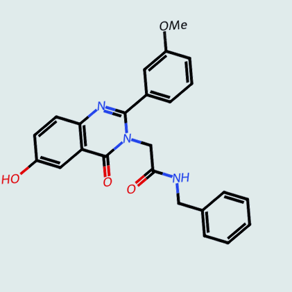 COc1cccc(-c2nc3ccc(O)cc3c(=O)n2CC(=O)NCc2ccccc2)c1